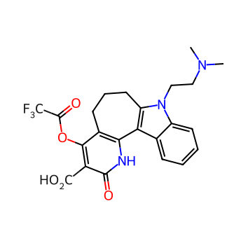 CN(C)CCn1c2c(c3ccccc31)-c1[nH]c(=O)c(C(=O)O)c(OC(=O)C(F)(F)F)c1CCC2